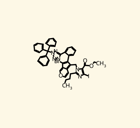 CCCCc1nc(I)c(C(=O)OCC)n1Cc1c2ccocc-2c(Br)c1-c1ccccc1-c1nnn(C(c2ccccc2)(c2ccccc2)c2ccccc2)n1